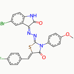 COc1ccc(N2C(=O)C(=Cc3ccc(F)cc3)SC2=NN=C2C(=O)Nc3ccc(Br)cc32)cc1